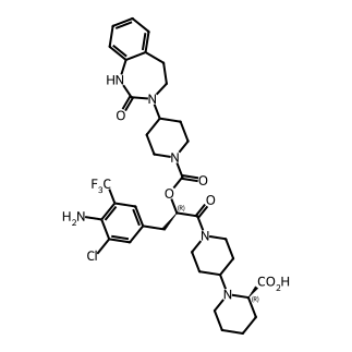 Nc1c(Cl)cc(C[C@@H](OC(=O)N2CCC(N3CCc4ccccc4NC3=O)CC2)C(=O)N2CCC(N3CCCC[C@@H]3C(=O)O)CC2)cc1C(F)(F)F